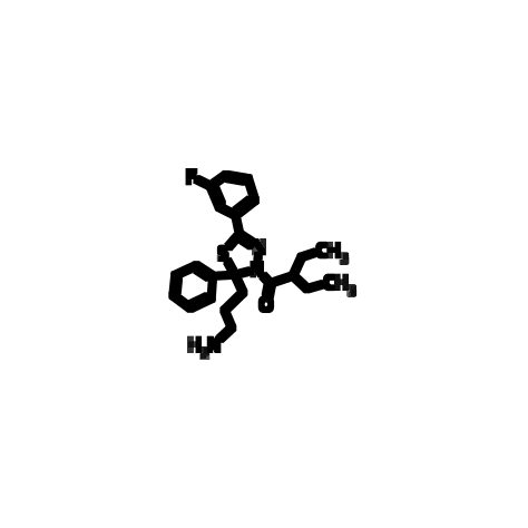 CCC(CC)C(=O)N1N=C(c2cccc(F)c2)SC1(CCCN)c1ccccc1